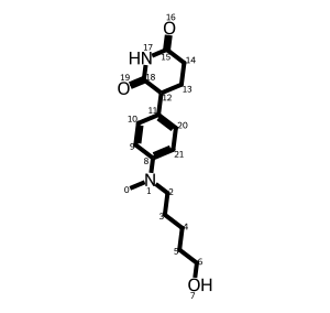 CN(CCCCCO)c1ccc(C2CCC(=O)NC2=O)cc1